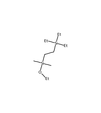 CCO[Si](C)(C)CC[Si](CC)(CC)CC